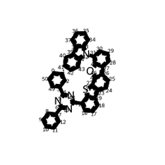 c1ccc(-c2nc(-c3ccccc3)nc(-c3cccc4c3sc3c4ccc4c5cccc(-n6c7ccccc7c7ccccc76)c5oc43)n2)cc1